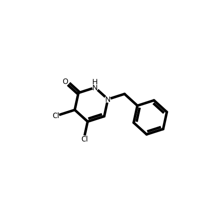 O=C1NN(Cc2ccccc2)C=C(Cl)C1Cl